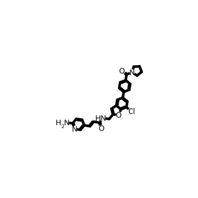 Nc1ccc(/C=C/C(=O)NCc2cc3cc(-c4ccc(C(=O)N5CCCC5)cc4)cc(Cl)c3o2)cn1